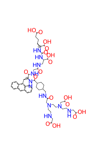 O=C(O)CCC[C@H](NC(=O)NC(CNC(=O)CNC(=O)[C@H](Cc1c2ccccc2cc2ccccc12)NC(=O)C1CCC(CNC(=O)CN(CCNCC(=O)O)CCN(CCNCC(=O)O)CC(=O)O)CC1)C(=O)O)C(=O)O